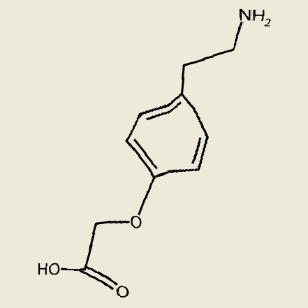 NCCc1ccc(OCC(=O)O)cc1